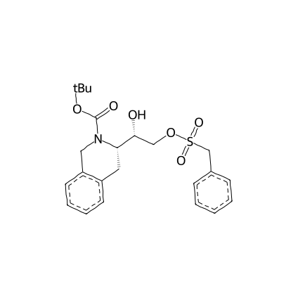 CC(C)(C)OC(=O)N1Cc2ccccc2C[C@H]1[C@H](O)COS(=O)(=O)Cc1ccccc1